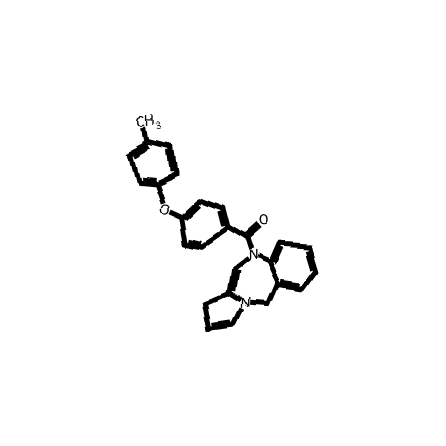 Cc1ccc(Oc2ccc(C(=O)N3C=C4CC=CN4Cc4ccccc43)cc2)cc1